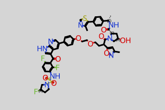 Cc1cc(C(CCOCCOc2ccc(-c3cnc4[nH]cc(C(=O)c5c(F)ccc(NS(=O)(=O)N6CC[C@@H](F)C6)c5F)c4c3)cc2)C(=O)N2C[C@H](O)C[C@H]2C(=O)N[C@@H](C)c2ccc(-c3scnc3C)cc2)on1